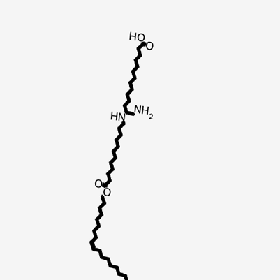 CCCCCCCC/C=C\CCCCCCCCOC(=O)CCCCCCCCCCCNC(CN)CCCCCCCCCCCC(=O)O